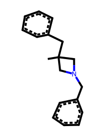 CC1(Cc2ccccc2)CN(Cc2ccccc2)C1